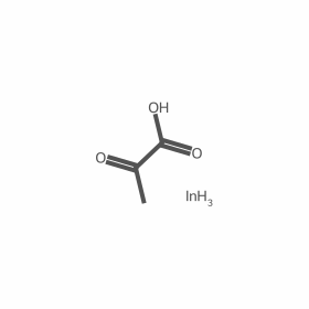 CC(=O)C(=O)O.[InH3]